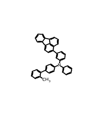 Cc1ccccc1-c1ccc(N(c2ccccc2)c2cccc(-c3ccc4c5c(cccc35)-c3ccccc3-4)c2)cc1